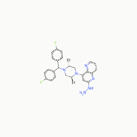 CC[C@H]1CN(C(c2ccc(F)cc2)c2ccc(F)cc2)[C@H](CC)CN1c1cc(NN)nc2cccnc12